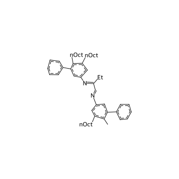 CCCCCCCCc1cc(N=CC(CC)=Nc2cc(CCCCCCCC)c(CCCCCCCC)c(-c3ccccc3)c2)cc(-c2ccccc2)c1C